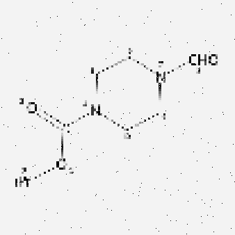 CC(C)OC(=O)N1CCN(C=O)CC1